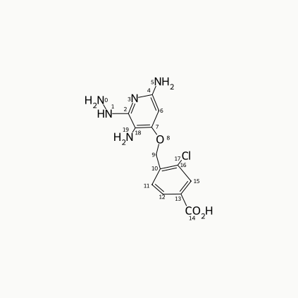 NNc1nc(N)cc(OCc2ccc(C(=O)O)cc2Cl)c1N